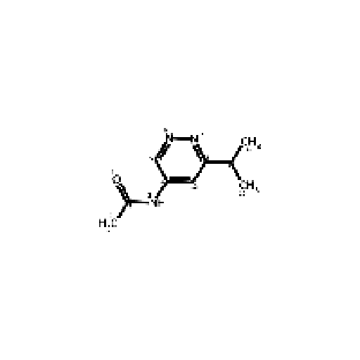 CC(=O)Nc1cnnc(C(C)C)c1